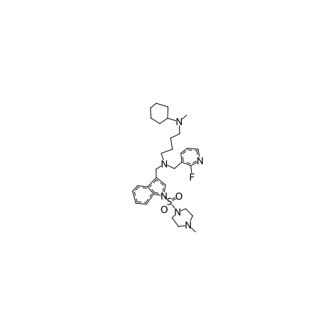 CN1CCN(S(=O)(=O)n2cc(CN(CCCCN(C)C3CCCCC3)Cc3cccnc3F)c3ccccc32)CC1